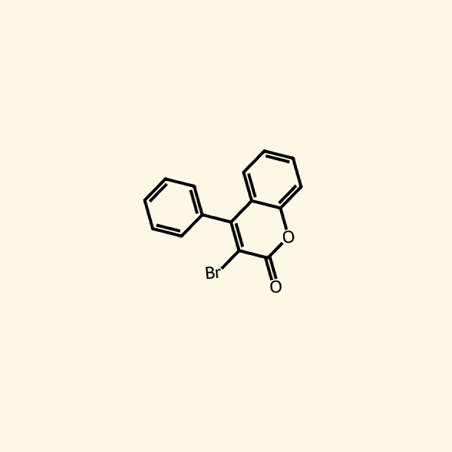 O=c1oc2ccccc2c(-c2ccccc2)c1Br